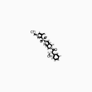 Cc1cn(CC(F)(F)F)nc1S(=O)(=O)n1cc2c(n1)CN(C(=O)[C@@H](CO)c1ccccc1)C2